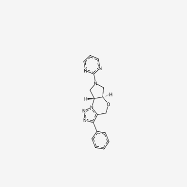 c1ccc(-c2nnn3c2CO[C@@H]2CN(c4ncccn4)C[C@H]23)cc1